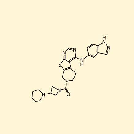 O=C([C@H]1CCc2c(sc3ncnc(Nc4ccc5[nH]ncc5c4)c23)C1)N1CC(N2CCCCC2)C1